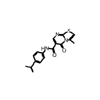 Cc1csc2ncc(C(=O)Nc3ccc(C(C)C)cc3)c(=O)n12